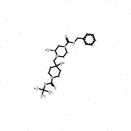 C[C@H]1CN(C(=O)OCc2ccccc2)CCN1CC1(O)CCN(C(=O)OC(C)(C)C)CC1